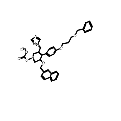 CC(C)(C)OC(=O)ON1CC(Cn2cncn2)C(c2ccc(OCCCOCc3ccccc3)cc2)C(OCc2ccc3ccccc3c2)C1